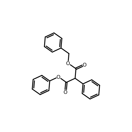 O=C(OCc1ccccc1)C(C(=O)Oc1ccccc1)c1ccccc1